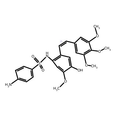 COc1cc(NS(=O)(=O)c2ccc(N)cc2)c(/C=C\c2cc(OC)c(OC)c(OC)c2)cc1O